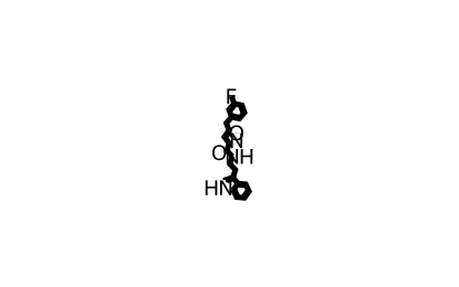 O=C(NCCc1c[nH]c2ccccc12)c1cc(Cc2cccc(F)c2)on1